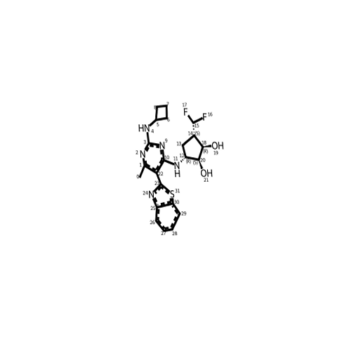 Cc1nc(NC2CCC2)nc(N[C@@H]2C[C@H](C(F)F)[C@@H](O)[C@H]2O)c1-c1nc2ccccc2s1